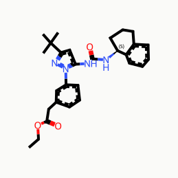 CCOC(=O)Cc1cccc(-n2nc(C(C)(C)C)cc2NC(=O)N[C@H]2CCCc3ccccc32)c1